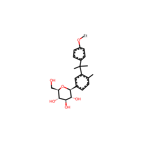 CCOc1ccc(C(C)(C)c2cc([C@@H]3O[C@H](CO)[C@@H](O)[C@H](O)[C@H]3O)ccc2C)cc1